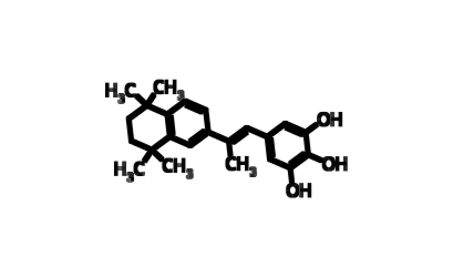 CC(=Cc1cc(O)c(O)c(O)c1)c1ccc2c(c1)C(C)(C)CCC2(C)C